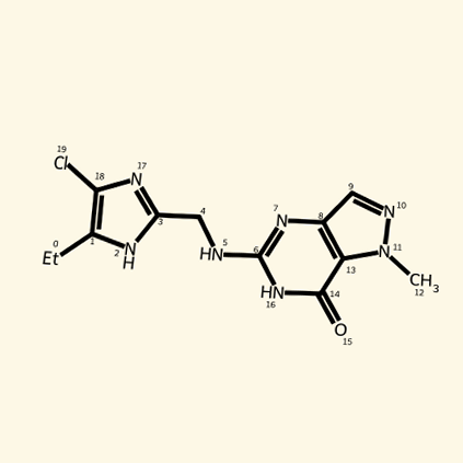 CCc1[nH]c(CNc2nc3cnn(C)c3c(=O)[nH]2)nc1Cl